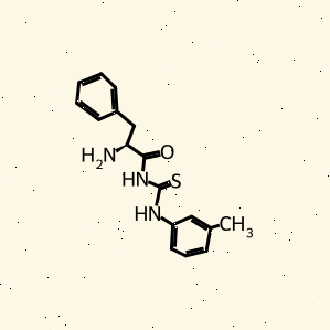 Cc1cccc(NC(=S)NC(=O)[C@@H](N)Cc2ccccc2)c1